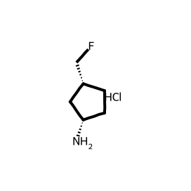 Cl.N[C@H]1CC[C@@H](CF)C1